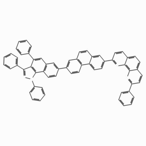 c1ccc(-c2ccc3ccc4ccc(-c5ccc6c(ccc7cc(-c8ccc9c(c8)cc(-c8ccccc8)c8c(-c%10ccccc%10)nn(-c%10ccccc%10)c89)ccc76)c5)nc4c3n2)cc1